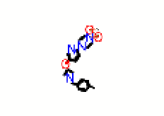 Cc1ccc(CN2CC(Oc3ccc(N4CCN(S(C)(=O)=O)CC4)nc3)C2)cc1